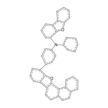 c1ccc(N(c2ccc(-c3cccc4c3oc3c4ccc4ccc5ccccc5c43)cc2)c2cccc3c2oc2ccccc23)cc1